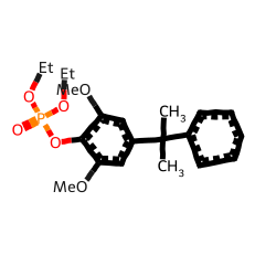 CCOP(=O)(OCC)Oc1c(OC)cc(C(C)(C)c2ccccc2)cc1OC